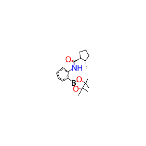 C[C@H]1CCC[C@@H]1C(=O)Nc1ccccc1B1OC(C)(C)C(C)(C)O1